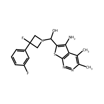 Cc1nnc2sc(C(O)N3CC(F)(c4cccc(F)c4)C3)c(N)c2c1C